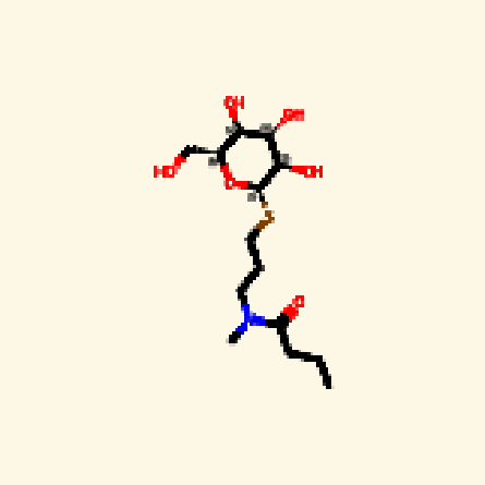 CCCC(=O)N(C)CCCS[C@@H]1O[C@H](CO)[C@@H](O)[C@H](O)[C@H]1O